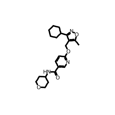 Cc1onc(C2CCCCC2)c1COc1ccc(C(=O)NC2CCOCC2)cn1